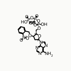 Nc1ncnc2c1ncn2[C@H]1CC(OCc2ccccc2[N+](=O)[O-])[C@@H](COP(=O)(O)OP(=O)(O)OP(=O)(O)O)O1